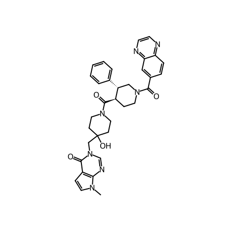 Cn1ccc2c(=O)n(CC3(O)CCN(C(=O)[C@@H]4CCN(C(=O)c5ccc6nccnc6c5)C[C@H]4c4ccccc4)CC3)cnc21